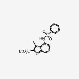 CCOC(=O)c1oc2cccc(NS(=O)(=O)c3ccccc3)c2c1C